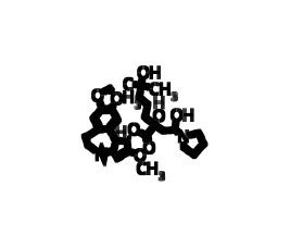 COC1=C[C@]23CCCN2CCc2cc4c(cc2[C@@H]3[C@@H]1OC(=O)[C@@](O)(CCCC(C)(C)O)CC(O)N1CCCC1)OCO4